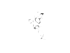 Cc1c(-c2cc(O[C@H](C)c3ccccn3)n3c(C#N)cnc3c2)nnn1C1CCCN(C#N)CC1